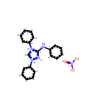 O=[N+]([O-])[O-].c1ccc(Nc2nn(-c3ccccc3)c[n+]2-c2ccccc2)cc1